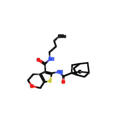 CSCCCNC(=O)c1c(NC(=O)C23CC4CC(CC2C4)C3)sc2c1CCOC2